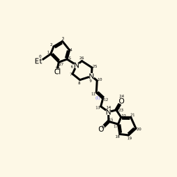 CCc1cccc(N2CCN(C/C=C/CN3C(=O)c4ccccc4C3=O)CC2)c1Cl